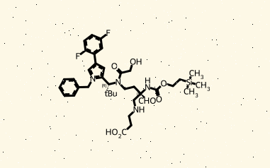 CC(C)(C)[C@H](c1cc(-c2cc(F)ccc2F)cn1Cc1ccccc1)N(CC[C@@](C=O)(CNCCC(=O)O)NC(=O)OCC[Si](C)(C)C)C(=O)CO